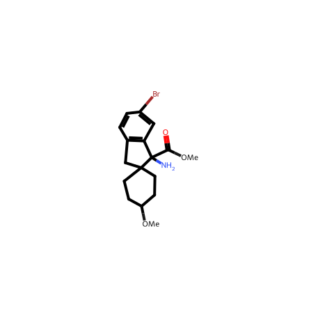 COC(=O)C1(N)c2cc(Br)ccc2CC12CCC(OC)CC2